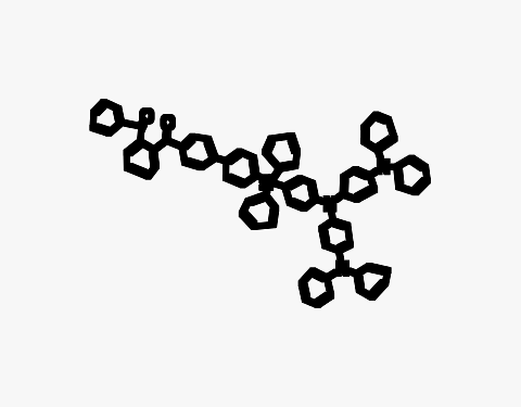 O=C(c1ccccc1)c1ccccc1C(=O)c1ccc(-c2ccc([Si](c3ccccc3)(c3ccccc3)c3ccc(N(c4ccc(N(c5ccccc5)c5ccccc5)cc4)c4ccc(N(c5ccccc5)c5ccccc5)cc4)cc3)cc2)cc1